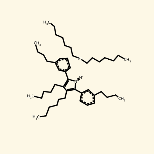 CCCCCCC1=C(c2cccc(CCCC)c2)[N+](=[N-])C(c2cccc(CCCC)c2)=C1CCCCC.CCCCCC[CH2][Ni][CH2]CCCCCC